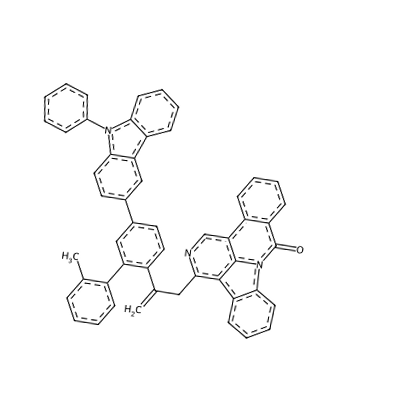 C=C(Cc1ncc2c3ccccc3c(=O)n3c4ccccc4c1c23)c1ccc(-c2ccc3c(c2)c2ccccc2n3-c2ccccc2)cc1-c1ccccc1C